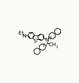 C[C][N]c1ccc2c(c1)sc1cc(N(C(C)=[N+]3CCC4(CCCCC4)CC3)N3CCC4(CCCCC4)CC3)ccc12